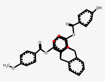 COc1ccc(C(=O)Oc2ccc(OC(=O)c3ccc(O)cc3)c3c2C2c4ccccc4C3c3ccccc32)cc1